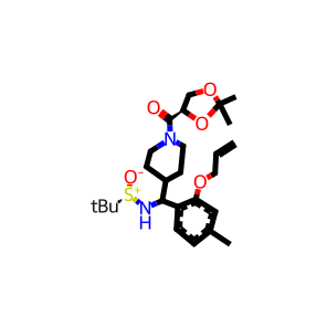 C=CCOc1cc(C)ccc1C(N[S@@+]([O-])C(C)(C)C)C1CCN(C(=O)[C@H]2COC(C)(C)O2)CC1